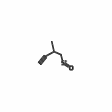 C#CC(C)C[S+]=O